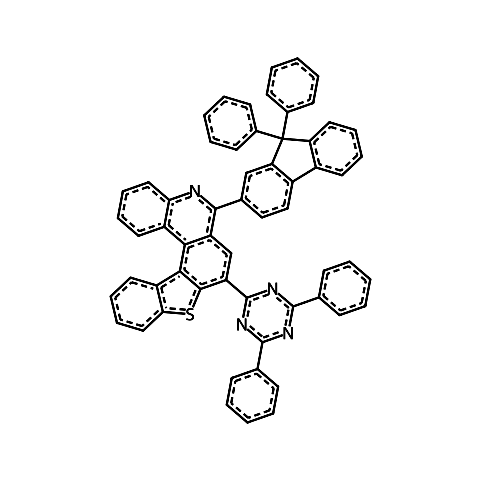 c1ccc(-c2nc(-c3ccccc3)nc(-c3cc4c(-c5ccc6c(c5)C(c5ccccc5)(c5ccccc5)c5ccccc5-6)nc5ccccc5c4c4c3sc3ccccc34)n2)cc1